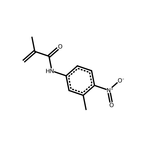 C=C(C)C(=O)Nc1ccc([N+](=O)[O-])c(C)c1